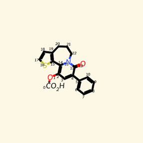 O=C(O)Oc1cc(-c2ccccc2)c(=O)n2c1-c1sccc1CCC2